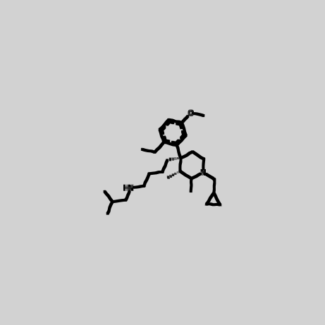 CCc1ccc(OC)cc1[C@@]1(CCCCNCC(C)C)CCN(CC2CC2)C(C)[C@@H]1C